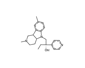 CC[C@@](O)(CN1c2ccc(C)cc2C2CN(C)CCC21)c1ccncc1